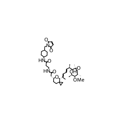 CO[C@H]([C@@H](C)[C@H]1O[C@]1(C)C[C@H](C)/C=C/C=C(\C)[C@H]1O[C@@H](CC(=O)NCCC(=O)NC2CCC(CN3C(=O)C=CC3=O)CC2)CCC12CC2)[C@@H](C)O